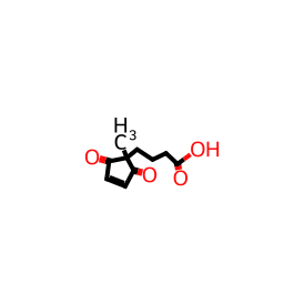 CC1(CCCC(=O)O)C(=O)C=CC1=O